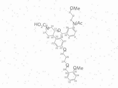 COCCCN(C(C)=O)c1cccc(COC2CN(C(=O)O)CCC2c2ccc(OCCCOCc3ccccc3OC)cc2)c1